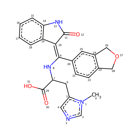 Cn1cncc1CC(NC(=C1C(=O)Nc2ccccc21)c1ccc2c(c1)COC2)C(=O)O